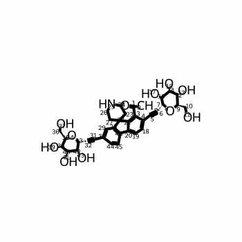 CC(=O)c1c(C#C[C@H]2O[C@H](CO)[C@@H](O)[C@H](O)[C@@H]2O)ccc2c1C1(CCNCC1)c1cc(C#C[C@H]3O[C@H](CO)[C@@H](O)[C@H](O)[C@@H]3O)ccc1-2